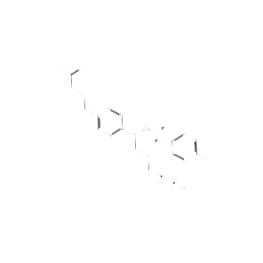 O=C(O)CCCc1ccc(C(CCCC(F)(F)C(F)(F)F)NS(=O)(=O)c2ccc(Cl)cc2)cc1